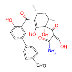 C[C@@H]1C[C@H](C)[C@@](O)(C(=O)/C(=C/O)C(N)=O)C(O)=C1C(=O)c1cc(-c2ccc(C=O)cc2)ccc1O